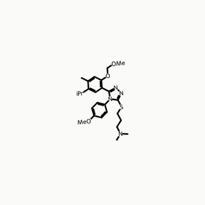 COCOc1cc(C)c(C(C)C)cc1-c1nnc(SCCCN(C)C)n1-c1ccc(OC)cc1